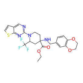 CCOC(=O)C1(NCc2ccc3c(c2)OCCO3)CCN(c2ncc3ccsc3n2)C(C(F)(F)F)C1